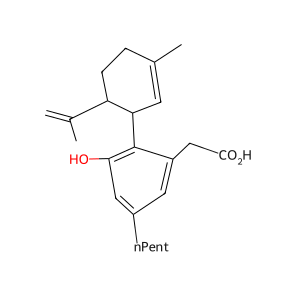 C=C(C)C1CCC(C)=CC1c1c(O)cc(CCCCC)cc1CC(=O)O